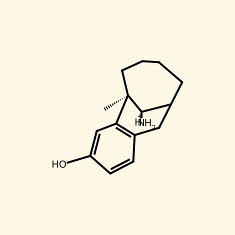 C[C@@]12CCCCC(Cc3ccc(O)cc31)[C@H]2N